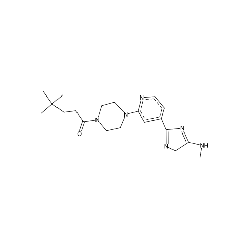 CNC1=NC(c2ccnc(N3CCN(C(=O)CCC(C)(C)C)CC3)c2)=NC1